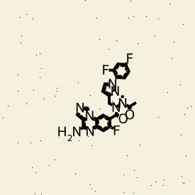 CC(=O)N(C)N(Cc1ccn(-c2ccc(F)cc2F)n1)C(=O)c1cc2c(cc1F)nc(N)c1cncn12